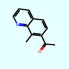 CC(=O)c1ccc2cccnc2c1C